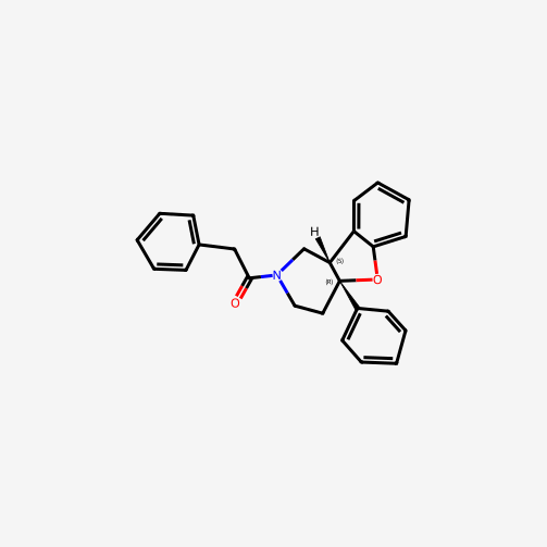 O=C(Cc1ccccc1)N1CC[C@@]2(c3ccccc3)Oc3ccccc3[C@H]2C1